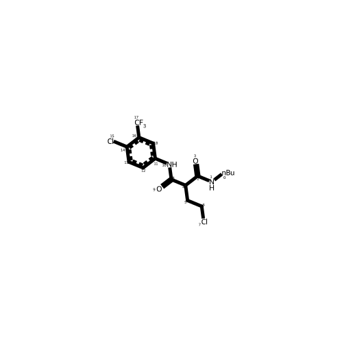 CCCCNC(=O)C(CCCl)C(=O)Nc1ccc(Cl)c(C(F)(F)F)c1